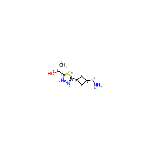 C[C@@H](O)c1nnc(C2CC(CN)C2)s1